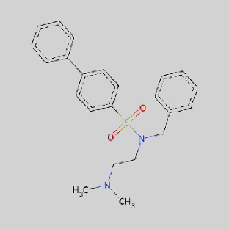 CN(C)CCN(Cc1ccccc1)S(=O)(=O)c1ccc(-c2ccccc2)cc1